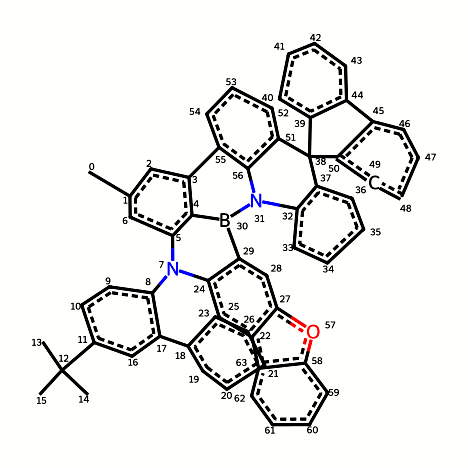 Cc1cc2c3c(c1)N(c1ccc(C(C)(C)C)cc1-c1ccccc1)c1cc4c(cc1B3N1c3ccccc3C3(c5ccccc5-c5ccccc53)c3cccc-2c31)oc1ccccc14